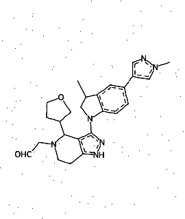 CC1CN(c2n[nH]c3c2C(C2CCOC2)N(CC=O)CC3)c2ccc(-c3cnn(C)c3)cc21